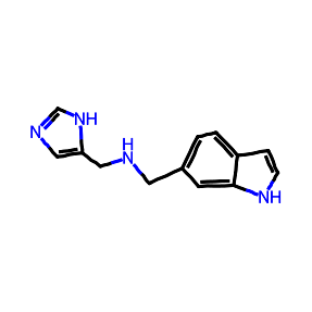 c1ncc(CNCc2ccc3cc[nH]c3c2)[nH]1